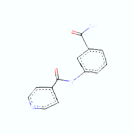 NC(=O)c1cccc(NC(=O)c2ccncc2)c1